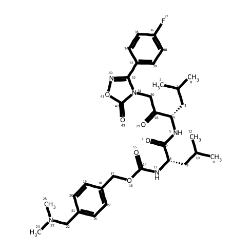 CC(C)C[C@H](NC(=O)[C@H](CC(C)C)NC(=O)OCc1ccc(CN(C)C)cc1)C(=O)Cn1c(-c2ccc(F)cc2)noc1=O